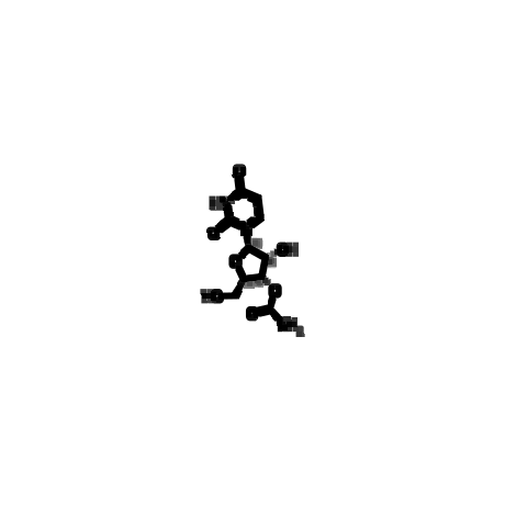 NC(=O)O[C@H]1[C@@H](O)[C@H](n2ccc(=O)[nH]c2=O)O[C@@H]1CO